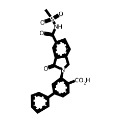 CS(=O)(=O)NC(=O)c1ccc2c(c1)C(=O)N(c1cc(-c3ccccc3)ccc1C(=O)O)C2